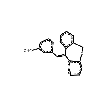 O=Cc1cccc(C=C2c3ccccc3CCc3ccccc32)c1